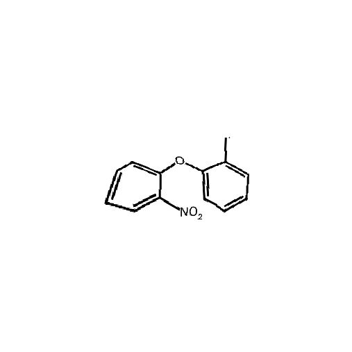 [CH2]c1ccccc1Oc1ccccc1[N+](=O)[O-]